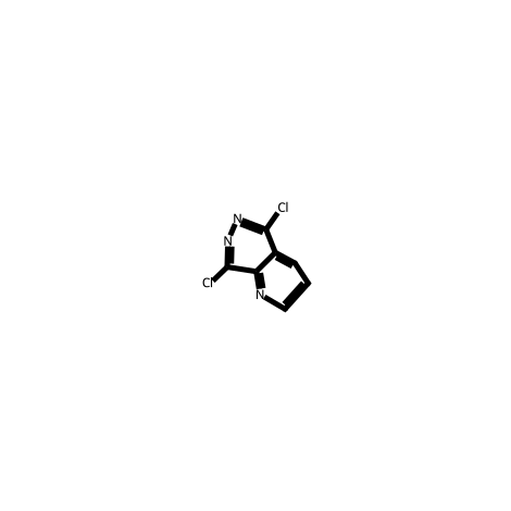 Clc1nnc(Cl)c2ncccc12